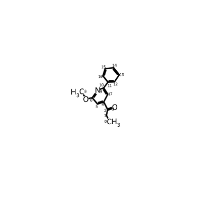 CCC(=O)c1cc(OC)nc(-c2ccccc2)c1